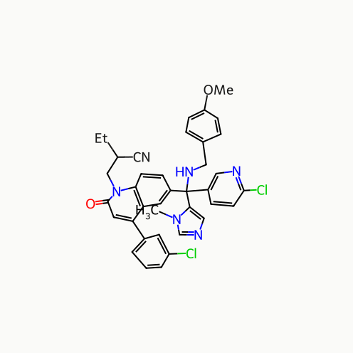 CCC(C#N)Cn1c(=O)cc(-c2cccc(Cl)c2)c2cc(C(NCc3ccc(OC)cc3)(c3ccc(Cl)nc3)c3cncn3C)ccc21